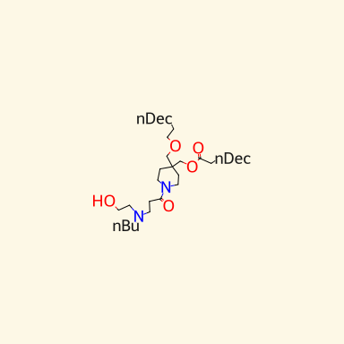 CCCCCCCCCCCCOCC1(COC(=O)CCCCCCCCCCC)CCN(C(=O)CCN(CCO)CCCC)CC1